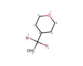 O=CC(Br)(Br)C1CCOCC1